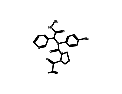 C=C(C)C(=O)N1CCC[C@@H]1C(=O)N(c1ccc(C(C)(C)C)cc1)C(C(=O)NC(C)(C)C)c1cccnc1